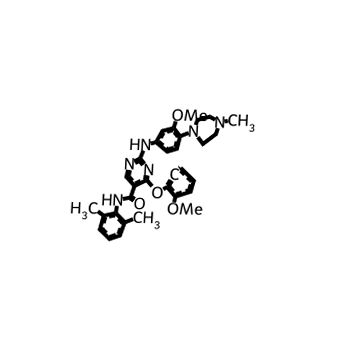 COc1ccccc1Oc1nc(Nc2ccc(N3CCN(C)CC3)c(OC)c2)ncc1C(=O)Nc1c(C)cccc1C